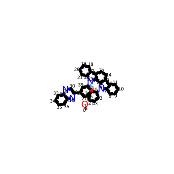 COc1ccc(-n2c3ccccc3c3ccc4c5ccccc5n(-c5cccc(-c6cnc7ccccc7n6)c5)c4c32)cc1